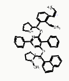 C=Cc1c(/C=C\C)cccc1C(Oc1nc(-c2ccccc2)nc(O[C@@H](c2cccc3ccccc23)[C@@H]2CCCN2C)c1-c1ccccc1)C1CCCN1